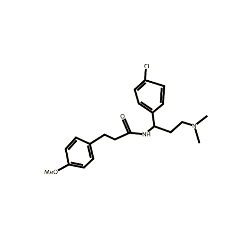 COc1ccc(CCC(=O)NC(CCN(C)C)c2ccc(Cl)cc2)cc1